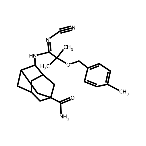 Cc1ccc(COC(C)(C)/C(=N\C#N)NC2C3CC4CC2CC(C(N)=O)(C4)C3)cc1